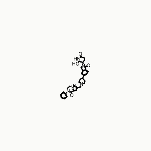 O=C1CCC(N2Cc3cc(C4CCN(Cc5cc6n(n5)CCN(c5ccccc5)C6=O)CC4)ccc3C2=O)C(O)N1